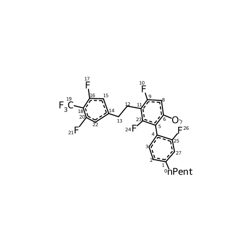 CCCCCc1ccc(-c2c([O])cc(F)c(CCc3cc(F)c(C(F)(F)F)c(F)c3)c2F)c(F)c1